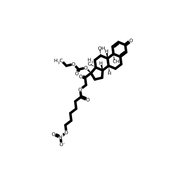 CCOC(=O)O[C@]1(C(=O)COC(=O)CCCCCO[N+](=O)[O-])CC[C@H]2[C@@H]3CCC4=CC(=O)C=C[C@]4(C)[C@H]3[C@@H](O)C[C@@]21C